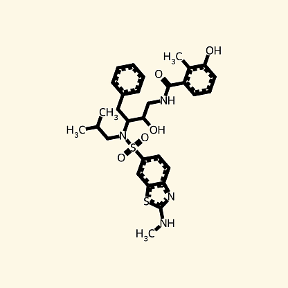 CNc1nc2ccc(S(=O)(=O)N(CC(C)C)C(Cc3ccccc3)C(O)CNC(=O)c3cccc(O)c3C)cc2s1